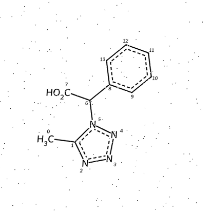 Cc1nnnn1C(C(=O)O)c1ccccc1